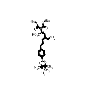 CC(C)(C)OC(=O)N(C(=O)OC(C)(C)C)[C@@H](CC(CN)CCCc1ccc(B2OC(C)(C)C(C)(C)O2)cc1)C(=O)O